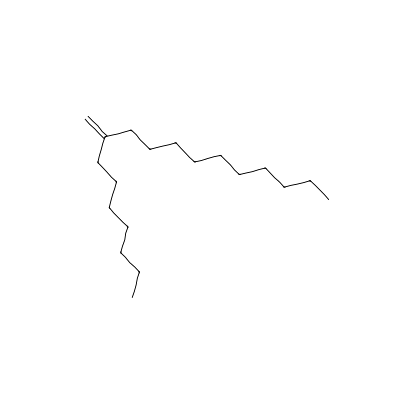 C=C(CCCCCCC)CCCCCCCCCC